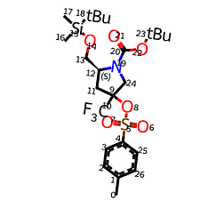 Cc1ccc(S(=O)(=O)OC2(C(F)(F)F)C[C@@H](CO[Si](C)(C)C(C)(C)C)N(C(=O)OC(C)(C)C)C2)cc1